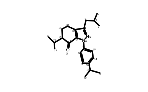 CC(C)Cc1nn(-c2ccc(C(C)C)cc2)c2c1CCC(C(C)C)C2=O